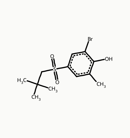 Cc1cc(S(=O)(=O)CC(C)(C)C)cc(Br)c1O